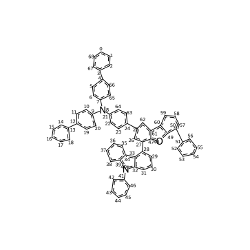 c1ccc(-c2ccc(N(c3ccc(-c4ccccc4)cc3)c3ccc(-c4cc(-c5cccc6c5c5ccccc5n6-c5ccccc5)c5oc6c(-c7ccccc7)cccc6c5c4)cc3)cc2)cc1